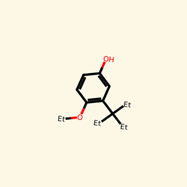 CCOc1ccc(O)cc1C(CC)(CC)CC